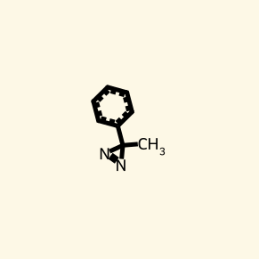 CC1(c2ccccc2)N=N1